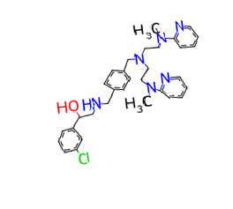 CN(CCN(CCN(C)c1ccccn1)Cc1ccc(CNCC(O)c2cccc(Cl)c2)cc1)c1ccccn1